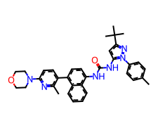 Cc1ccc(-n2nc(C(C)(C)C)cc2NC(=O)Nc2ccc(-c3ccc(N4CCOCC4)nc3C)c3ccccc23)cc1